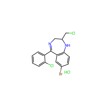 Cl.ClCC1CN=C(c2ccccc2Cl)c2cc(Br)ccc2N1